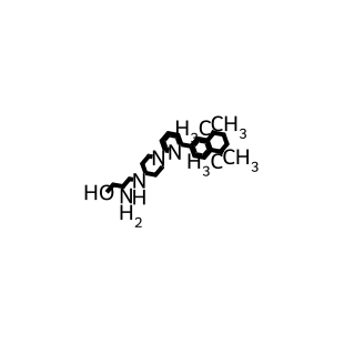 CC1(C)CCC(C)(C)c2cc(-c3cccc(N4CCC(NC[C@@H](N)CO)CC4)n3)ccc21